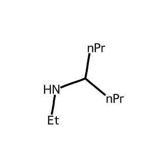 [CH2]CNC(CCC)CCC